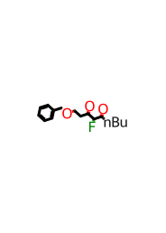 CCCCC(=O)C(F)C(=O)CCOCc1ccccc1